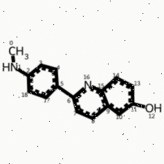 CNc1ccc(-c2ccc3cc(O)ccc3n2)cc1